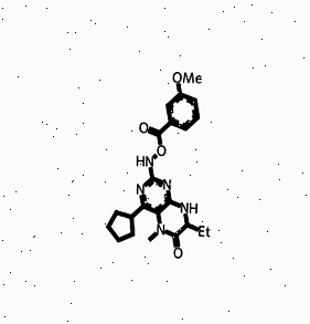 CCC1Nc2nc(NOC(=O)c3cccc(OC)c3)nc(C3CCCC3)c2N(C)C1=O